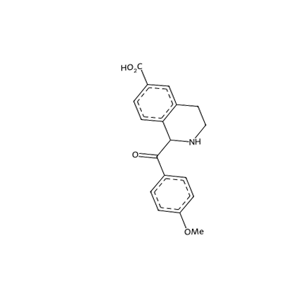 COc1ccc(C(=O)C2NCCc3cc(C(=O)O)ccc32)cc1